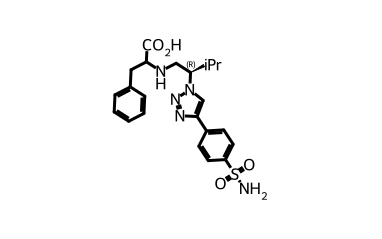 CC(C)[C@H](CNC(Cc1ccccc1)C(=O)O)n1cc(-c2ccc(S(N)(=O)=O)cc2)nn1